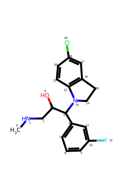 CNCC(O)C(c1cccc(F)c1)N1CCc2cc(Cl)ccc21